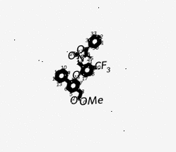 COC(=O)Cc1ccc(-c2ccccc2)c(Oc2ccc(C(F)(F)F)cc2CN2C(=O)O[C@@H](c3ccccc3)[C@H]2C)c1